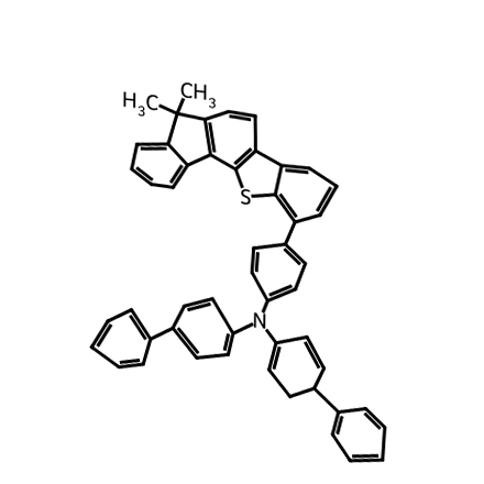 CC1(C)c2ccccc2-c2c1ccc1c2sc2c(-c3ccc(N(C4=CCC(c5ccccc5)C=C4)c4ccc(-c5ccccc5)cc4)cc3)cccc21